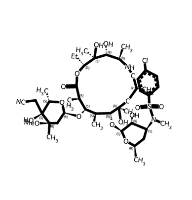 CC[C@H]1OC(=O)[C@H](C)[C@@H](O[C@H]2C[C@@](C)(OC)[C@](O)(CC#N)[C@H](C)O2)[C@H](C)[C@@H](O[C@@H]2O[C@H](C)C[C@H](N(C)S(=O)(=O)c3ccc(Cl)cc3)[C@H]2O)[C@](C)(O)C[C@@H](C)CN[C@H](C)[C@@H](O)[C@]1(C)O